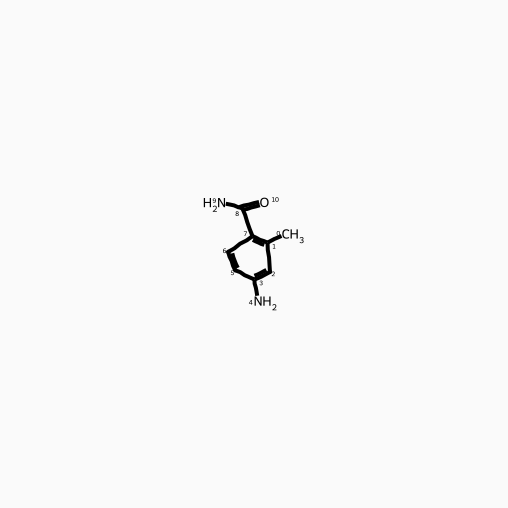 Cc1cc(N)ccc1C(N)=O